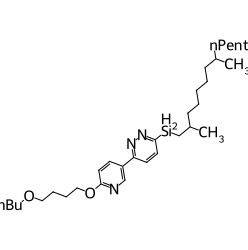 CCCCCC(C)CCCCCC(C)C[SiH2]c1ccc(-c2ccc(OCCCCOCCCC)nc2)nn1